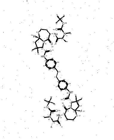 C[C@@H](C(=S)N[C@H]1CCS[C@H]2CC(C)(C)[C@@H](C(=O)Nc3ccc(CCc4ccc(NC(=O)[C@H]5N6C(=O)[C@@H](NC(=S)[C@H](C)N(C)C(=O)OC(C)(C)C)CCS[C@H]6CC5(C)C)cc4)cc3)N2C1=O)N(C)C(=O)OC(C)(C)C